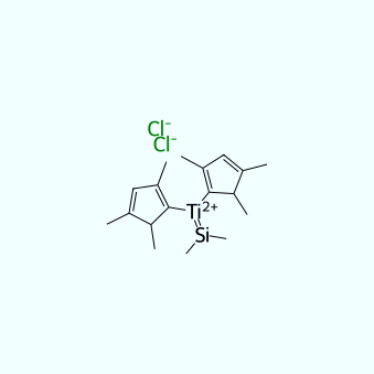 CC1=CC(C)=[C]([Ti+2]([C]2=C(C)C=C(C)C2C)=[Si](C)C)C1C.[Cl-].[Cl-]